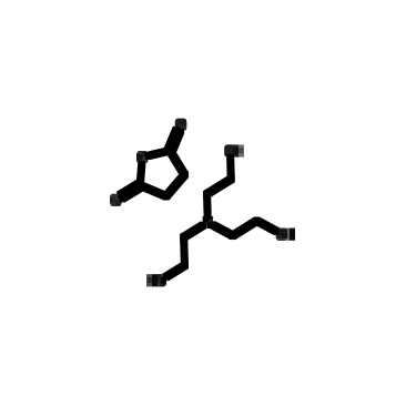 O=C1CCC(=O)O1.OCCN(CCO)CCO